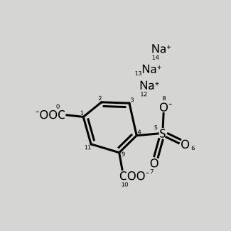 O=C([O-])c1ccc(S(=O)(=O)[O-])c(C(=O)[O-])c1.[Na+].[Na+].[Na+]